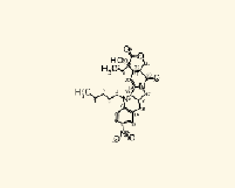 CCCCCN1c2ccc([N+](=O)[O-])cc2CC2Cn3c(cc4c(c3=O)COC(=O)[C@]4(O)CC)C21